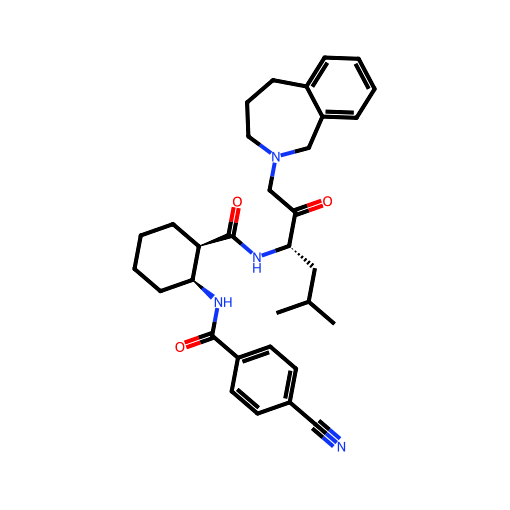 CC(C)C[C@H](NC(=O)[C@@H]1CCCC[C@@H]1NC(=O)c1ccc(C#N)cc1)C(=O)CN1CCCc2ccccc2C1